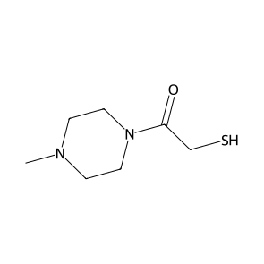 CN1CCN(C(=O)CS)CC1